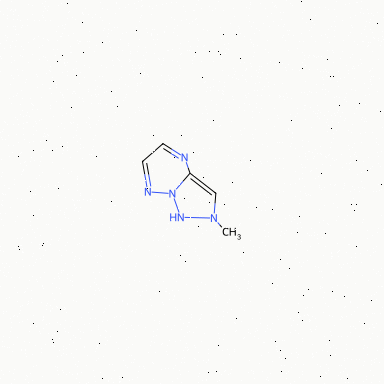 CN1C=C2N=CC=NN2N1